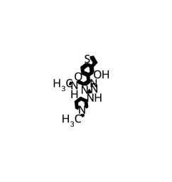 CCN1CCC[C@@H](Nc2nnc(-c3ccc4sccc4c3O)c(C(=O)NC)n2)C1